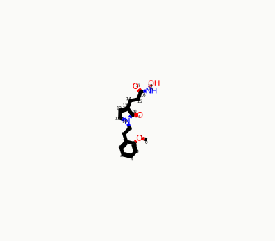 COc1ccccc1CCN1CC=C(CCC(=O)NO)C1=O